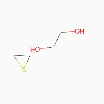 C1CS1.OCCO